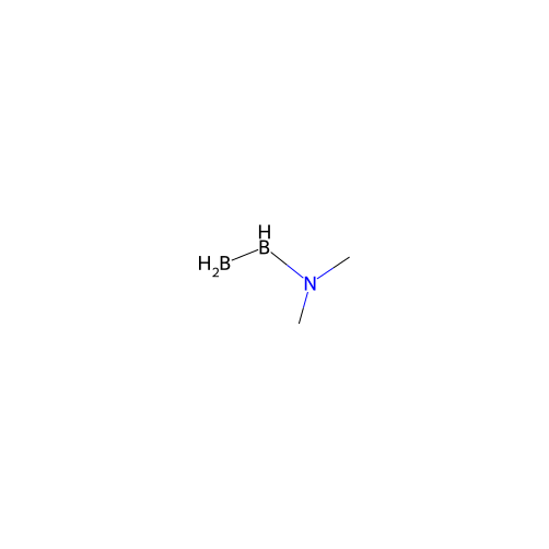 BBN(C)C